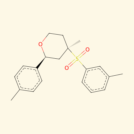 Cc1ccc([C@@H]2C[C@](C)(S(=O)(=O)c3cccc(C)c3)CCO2)cc1